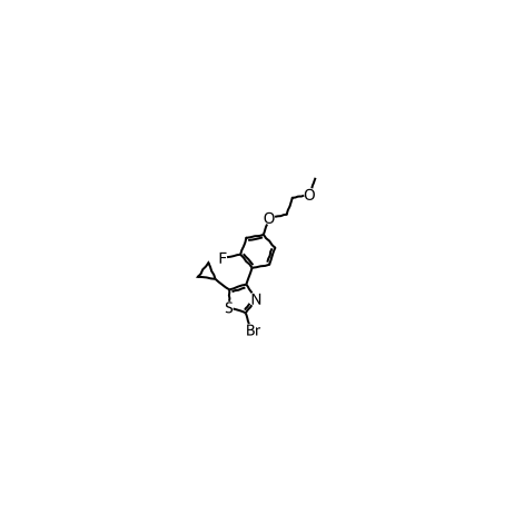 COCCOc1ccc(-c2nc(Br)sc2C2CC2)c(F)c1